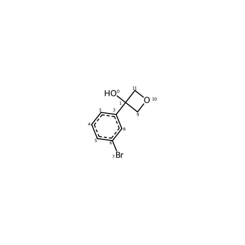 OC1(c2cccc(Br)c2)COC1